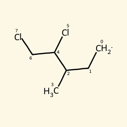 [CH2]CC(C)C(Cl)CCl